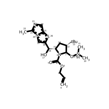 C=CCOC(=O)N1C(O[SiH](C)C)[C@@H](C(C)(C)C)C[C@H]1C(O)c1cn2c(C)ncc2s1